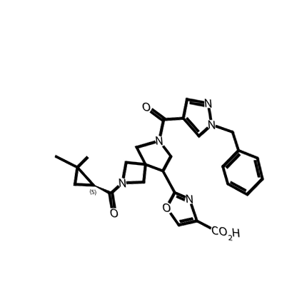 CC1(C)C[C@@H]1C(=O)N1CC2(CN(C(=O)c3cnn(Cc4ccccc4)c3)CC2c2nc(C(=O)O)co2)C1